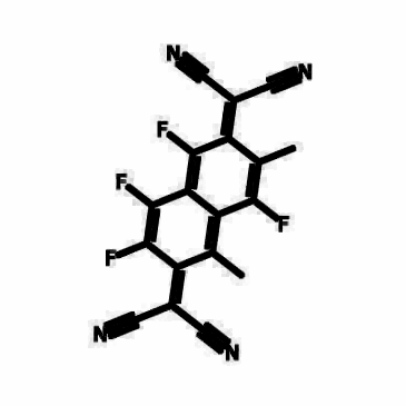 Cc1c(F)c2c(C)c(=C(C#N)C#N)c(F)c(F)c2c(F)c1=C(C#N)C#N